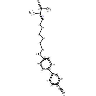 C/C(=C\CCCCCCOc1ccc(-c2ccc(C#N)cc2)cc1)C(=O)O